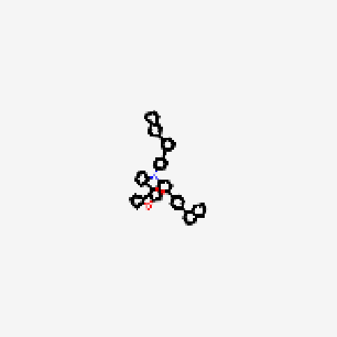 c1cc(-c2ccc(N(c3ccc(-c4ccc(-c5cccc6ccccc56)cc4)cc3)c3ccccc3-c3cccc4oc5ccccc5c34)cc2)cc(-c2ccc3ccccc3c2)c1